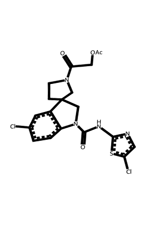 CC(=O)OCC(=O)N1CCC2(C1)CN(C(=O)Nc1ncc(Cl)s1)c1ccc(Cl)cc12